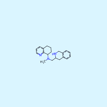 CN(CC1Cc2ccccc2CN1)C1CCCc2cccnc21